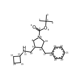 CC(C)(C)OC(=O)N1CC(CNC2CCC2)C(Cc2ccccc2)C1